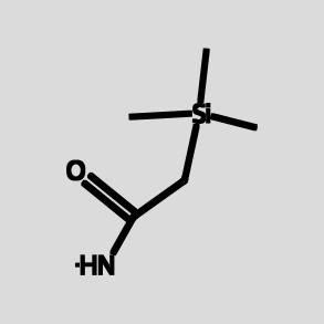 C[Si](C)(C)CC([NH])=O